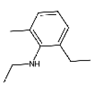 CCNc1c(C)cccc1CC